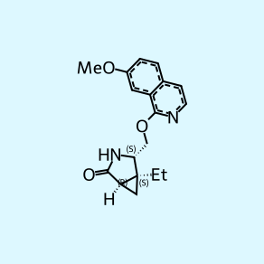 CC[C@]12C[C@H]1C(=O)N[C@@H]2COc1nccc2ccc(OC)cc12